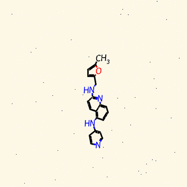 Cc1ccc(CNc2ccc3c(Nc4ccncc4)cccc3n2)o1